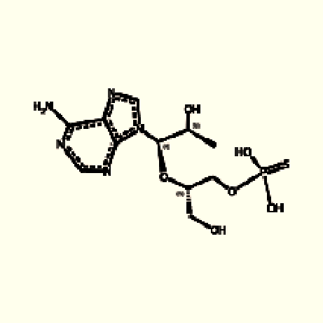 C[C@H](O)[C@@H](O[C@@H](CO)COP(O)(O)=S)n1cnc2c(N)ncnc21